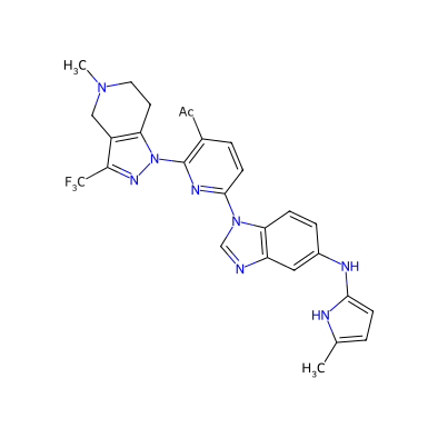 CC(=O)c1ccc(-n2cnc3cc(Nc4ccc(C)[nH]4)ccc32)nc1-n1nc(C(F)(F)F)c2c1CCN(C)C2